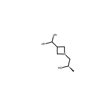 CCCC(CCC)C1CN(C[C@@H](C)O)C1